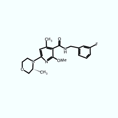 COc1nc(N2CCOC[C@H]2C)cc(C)c1C(=O)NCc1cccc(F)c1